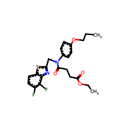 CCCOc1ccc(N(Cc2nc3c(F)c(F)ccc3s2)C(=O)CCC(=O)OCC)cc1